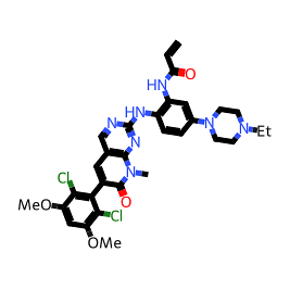 C=CC(=O)Nc1cc(N2CCN(CC)CC2)ccc1Nc1ncc2cc(-c3c(Cl)c(OC)cc(OC)c3Cl)c(=O)n(C)c2n1